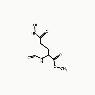 COC(=O)C(CCC(=O)NO)NC=O